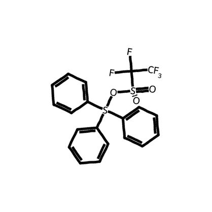 O=S(=O)(OS(c1ccccc1)(c1ccccc1)c1ccccc1)C(F)(F)C(F)(F)F